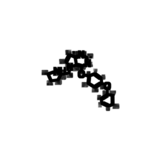 c1ccc(Oc2ccc(Oc3ncnc4ccn(CC5CCCN5)c34)cc2)cc1